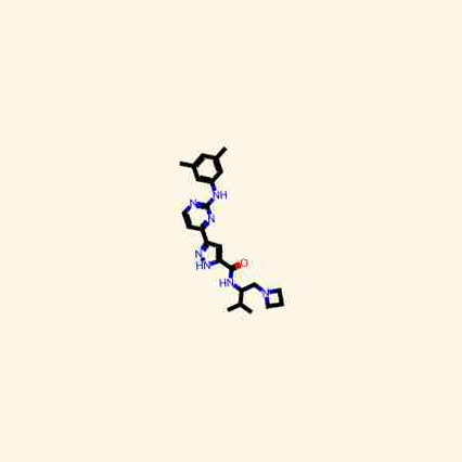 Cc1cc(C)cc(Nc2nccc(-c3cc(C(=O)NC(CN4CCC4)C(C)C)[nH]n3)n2)c1